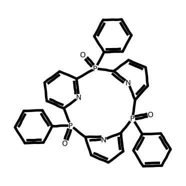 O=P1(c2ccccc2)c2cccc(n2)P(=O)(c2ccccc2)c2cccc(n2)P(=O)(c2ccccc2)c2cccc1n2